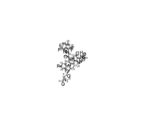 CC(=O)N1CCO[C@](C)(C#Cc2ccc(-c3ccc(Cl)c4c(NS(C)(=O)=O)nn(C)c34)c([C@H](Cc3cc(F)cc(F)c3)NC(=O)Cn3nc(C(F)F)c4c3C(F)(F)C3C[C@H]43)n2)C1